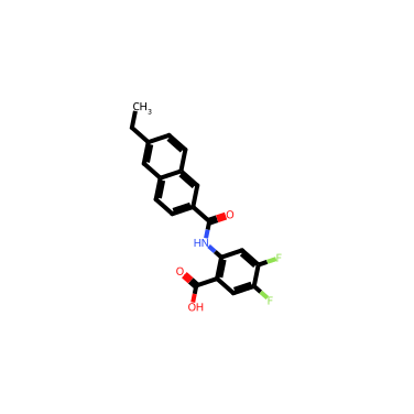 CCc1ccc2cc(C(=O)Nc3cc(F)c(F)cc3C(=O)O)ccc2c1